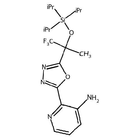 CC(C)[Si](OC(C)(c1nnc(-c2ncccc2N)o1)C(F)(F)F)(C(C)C)C(C)C